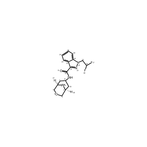 CN1[C@@H]2COC[C@H]1CC(NC(=O)c1nn(CC(F)F)c3ccccc13)C2